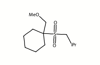 COCC1(S(=O)(=O)CC(C)C)CCCCC1